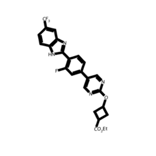 CCOC(=O)C1CC(Oc2ncc(-c3ccc(-c4nc5cc(C(F)(F)F)ccc5[nH]4)c(F)c3)cn2)C1